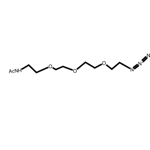 CC(=O)NCCOCCOCCOCCN=[N+]=N